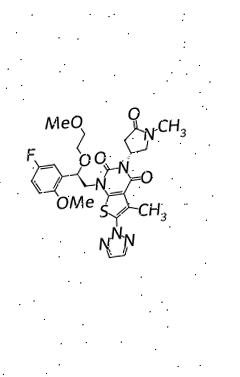 COCCO[C@@H](Cn1c(=O)n([C@@H]2CC(=O)N(C)C2)c(=O)c2c(C)c(-n3nccn3)sc21)c1cc(F)ccc1OC